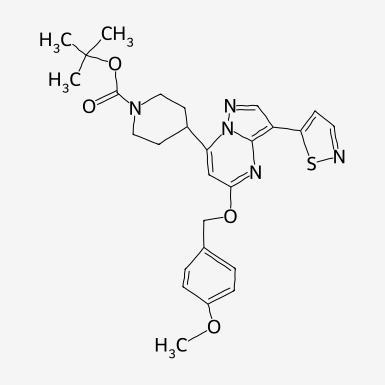 COc1ccc(COc2cc(C3CCN(C(=O)OC(C)(C)C)CC3)n3ncc(-c4ccns4)c3n2)cc1